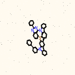 c1ccc(-c2cccc(-n3c4ccccc4c4cc5c(cc43)sc3c5ccc4c5ccccc5n(-c5nc(-c6ccccc6)nc6ccccc56)c43)c2)cc1